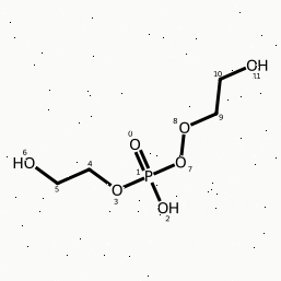 O=P(O)(OCCO)OOCCO